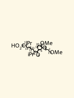 COCCCOc1cc(C(=O)[C@@H](C/C=C/C[C@H](C(=O)O)C(C)C)C(C)C)ccc1OC